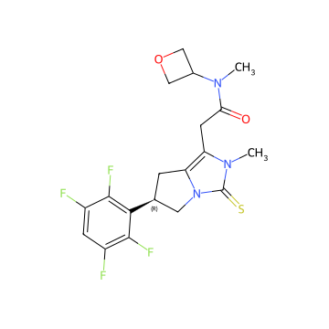 CN(C(=O)Cc1c2n(c(=S)n1C)C[C@@H](c1c(F)c(F)cc(F)c1F)C2)C1COC1